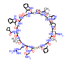 CC(C)C[C@@H]1NC(=O)[C@H](Cc2cnc[nH]2)NC(=O)[C@@H]2CCCN2C(=O)[C@H](CC(N)=O)NC(=O)[C@H](C)NC(=O)[C@H](Cc2ccccc2)NC(=O)CSC[C@@H](C(=O)NCC(N)=O)NC(=O)[C@H](CCCNC(=N)N)NC(=O)[C@H](C)N(C)C(=O)[C@H](CNC(=O)C2CCC2)NC(=O)[C@H](Cc2c[nH]c3ccccc23)NC(=O)[C@H](CO)NC(=O)[C@H](Cc2c[nH]c3ccccc23)NC(=O)CN(C)C1=O